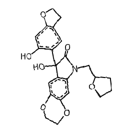 O=C1N(CC2CCCO2)c2cc3c(cc2C1(O)c1cc2c(cc1O)OCC2)OCCO3